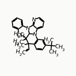 C=CC1(C)c2ccc(C(C)(C)C)cc2N2c3cccnc3N(c3ccccc3C)C2C1(C)C